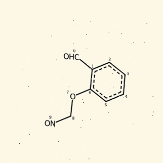 O=Cc1ccccc1OCN=O